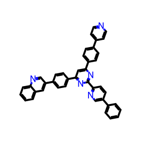 c1ccc(-c2ccc(-c3nc(-c4ccc(-c5ccncc5)cc4)cc(-c4ccc(-c5cnc6ccccc6c5)cc4)n3)nc2)cc1